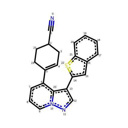 N#CC1CC=C(c2cccn3ncc(-c4cc5ccccc5s4)c23)CC1